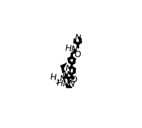 Nc1c(-c2ncc[nH]2)c(=O)c2ccc(-c3ccc(CC(=O)NCc4ccncc4)cc3)nc2n1CC1CC1